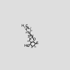 CN1CCN(C2=NC(=O)/C(=C\c3cc(F)ccc3O)S2)CC1